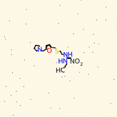 C#CCNC(=C[N+](=O)[O-])NCCSCc1ccc(CN2CCCC2)o1